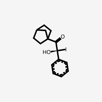 O=C(C12CCC(CC1)C2)[C@](O)(I)c1ccccc1